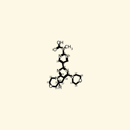 CN(C(=O)O)c1ncc(-c2nc(N3CCOCC3)c3c(n2)N2CCOC[C@H]2C3)cn1